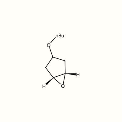 CCCCOC1C[C@@H]2O[C@@H]2C1